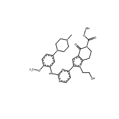 CN1CCN(c2ccc(OC(F)(F)F)c(Nc3nccc(-c4cc5c(n4CCO)CCN(C(=O)OC(C)(C)C)C5=O)n3)c2)CC1